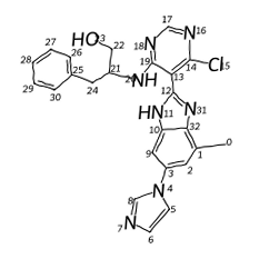 Cc1cc(-n2ccnc2)cc2[nH]c(-c3c(Cl)ncnc3NC(CO)Cc3ccccc3)nc12